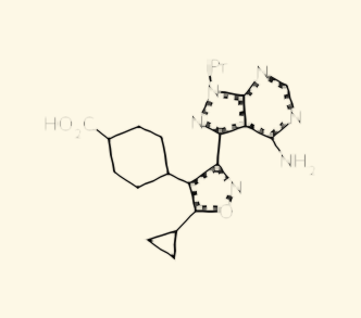 CC(C)n1nc(-c2noc(C3CC3)c2C2CCC(C(=O)O)CC2)c2c(N)ncnc21